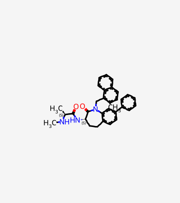 CN[C@@H](C)C(=O)N[C@H]1CCc2ccc(-c3ccccc3)cc2N(Cc2c(C)ccc3ccccc23)C1=O